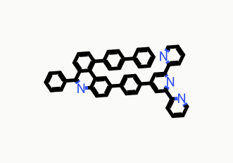 c1ccc(-c2ccc(-c3cccc4c(-c5ccccc5)nc5ccc(-c6ccc(-c7cc(-c8ccccn8)nc(-c8ccccn8)c7)cc6)cc5c34)cc2)cc1